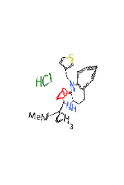 CNC(C)C(=O)NC1CCc2ccccc2N(Cc2ccsc2)C1=O.Cl